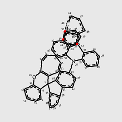 C1=CC2=C(C=CC1)C1(c3ccccc3O2)c2ccccc2-c2ccc(N(c3ccccc3-c3ccccc3)c3cccc4c3sc3ccccc34)cc21